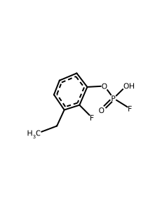 CCc1cccc(OP(=O)(O)F)c1F